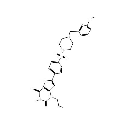 CCCn1c(=O)n(C)c(=O)c2[nH]c(-c3ccc(S(=O)(=O)N4CCN(Cc5cccc(OC)c5)CC4)cc3)cc21